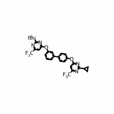 CC(C)(C)c1nc(Oc2cc[c]c(-c3ccc(Oc4cc(C(F)(F)F)nc(C5CC5)n4)cc3)c2)cc(C(F)(F)F)n1